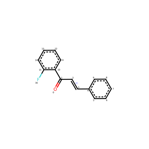 O=C(/C=C/c1ccccc1)c1ccccc1F